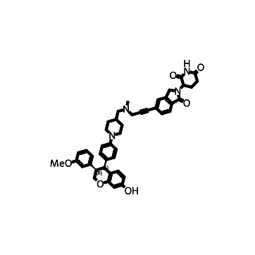 COc1cccc([C@@H]2COc3cc(O)ccc3[C@@H]2c2ccc(N3CCC(CN(C)CC#Cc4ccc5c(c4)CN(C4CCC(=O)NC4=O)C5=O)CC3)cc2)c1